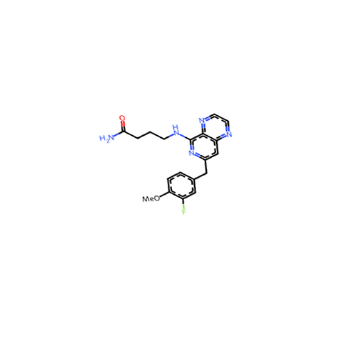 COc1ccc(Cc2cc3nccnc3c(NCCCC(N)=O)n2)cc1F